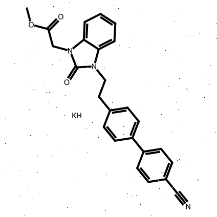 COC(=O)Cn1c(=O)n(CCc2ccc(-c3ccc(C#N)cc3)cc2)c2ccccc21.[KH]